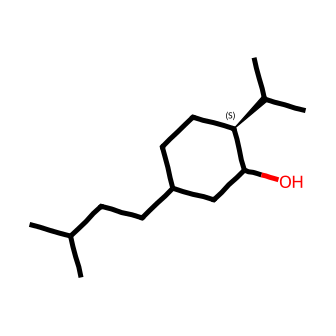 CC(C)CCC1CC[C@@H](C(C)C)C(O)C1